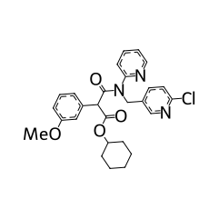 COc1cccc(C(C(=O)OC2CCCCC2)C(=O)N(Cc2ccc(Cl)nc2)c2ccccn2)c1